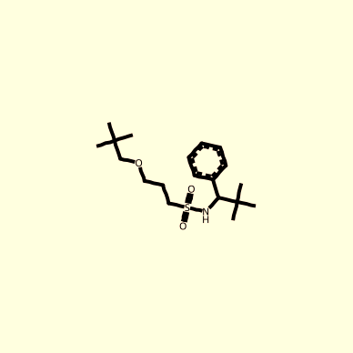 CC(C)(C)COCCCS(=O)(=O)NC(c1ccccc1)C(C)(C)C